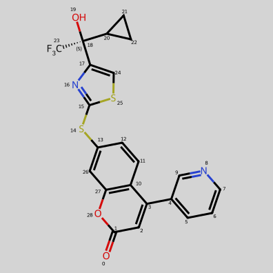 O=c1cc(-c2cccnc2)c2ccc(Sc3nc([C@@](O)(C4CC4)C(F)(F)F)cs3)cc2o1